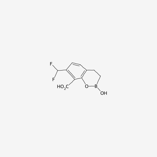 O=C(O)c1c(C(F)F)ccc2c1OB(O)CC2